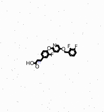 O=C(O)/C=C/c1ccc(Oc2ccc(OCc3cccc(F)c3F)cn2)c(F)c1